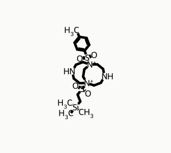 Cc1ccc(S(=O)(=O)[N+]23CCNCC[N+](S(=O)(=O)CC[Si](C)(C)C)(CCNCC2)CC3)cc1